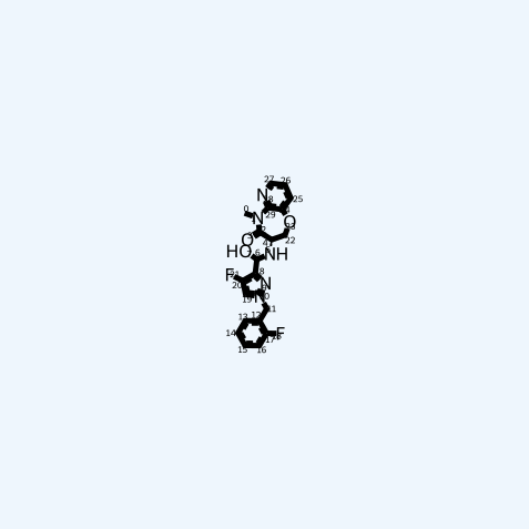 CN1C(=O)[C@@H](NC(O)c2nn(Cc3ccccc3F)cc2F)COc2cccnc21